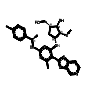 CO[C@@H]1[C@H](O)[C@@H](CO)C[C@H]1Nc1nc(N[C@H](C)c2ccc(C)cc2)nc(C)c1-c1nc2cnccc2s1